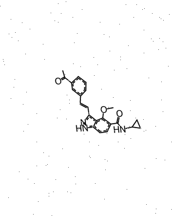 COc1c(C(=O)NC2CC2)ccc2[nH]nc(/C=C/c3cccc(C(C)=O)c3)c12